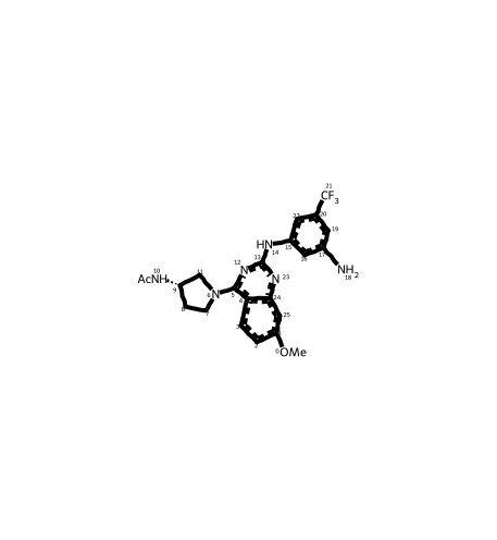 COc1ccc2c(N3CC[C@H](NC(C)=O)C3)nc(Nc3cc(N)cc(C(F)(F)F)c3)nc2c1